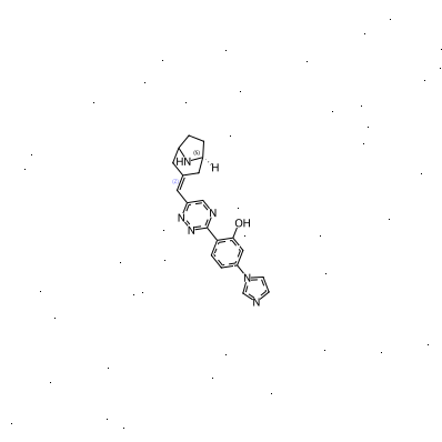 Oc1cc(-n2ccnc2)ccc1-c1ncc(/C=C2/CC3CC[C@@H](C2)N3)nn1